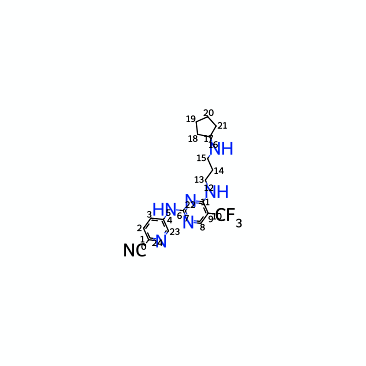 N#Cc1ccc(Nc2ncc(C(F)(F)F)c(NCCCNC3CCCC3)n2)cn1